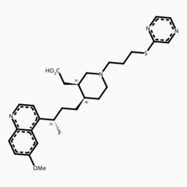 COc1ccc2nccc([C@@H](F)CC[C@@H]3CCN(CCCSc4cnccn4)C[C@@H]3CC(=O)O)c2c1